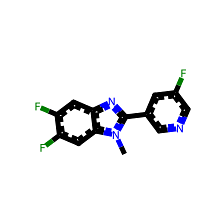 Cn1c(-c2cncc(F)c2)nc2cc(F)c(F)cc21